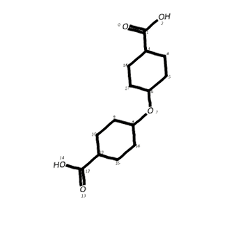 O=C(O)C1CCC(OC2CCC(C(=O)O)CC2)CC1